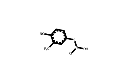 N#Cc1ccc(SN(O)Cl)cc1C(F)(F)F